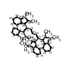 CC1=[N+](C)c2ccccc2/C1=C(/C=C/C=C(c1c(C)n(C)c2ccccc12)c1c(C)n(C)c2ccccc12)c1c(C)n(C)c2ccccc12